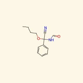 CCCCOC(C#N)(NC=O)c1ccccc1